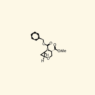 COC(=O)[C@@H]1CO[C@@H]2C[C@@H]2N1C(=O)OCc1ccccc1